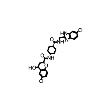 O=C(N[C@H]1CC[C@H](C(=O)NCc2nc3ccc(Cl)cc3[nH]2)CC1)C1CC(O)c2cc(Cl)ccc2O1